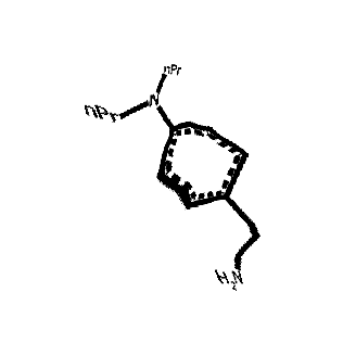 CCCN(CCC)c1ccc(CN)cc1